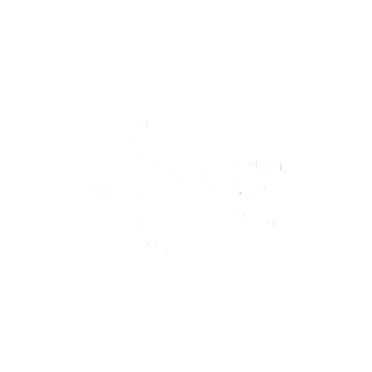 COc1cc(CC[Si](OC)(OC)OC)cc(OC)c1C